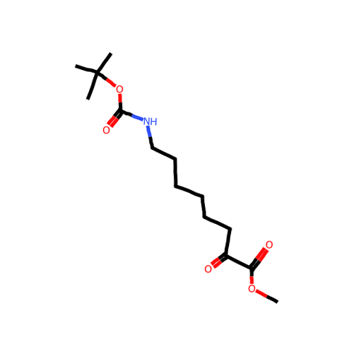 COC(=O)C(=O)CCCCCCNC(=O)OC(C)(C)C